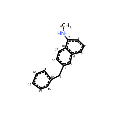 CNc1cccc2cc(Cc3ccccc3)ccc12